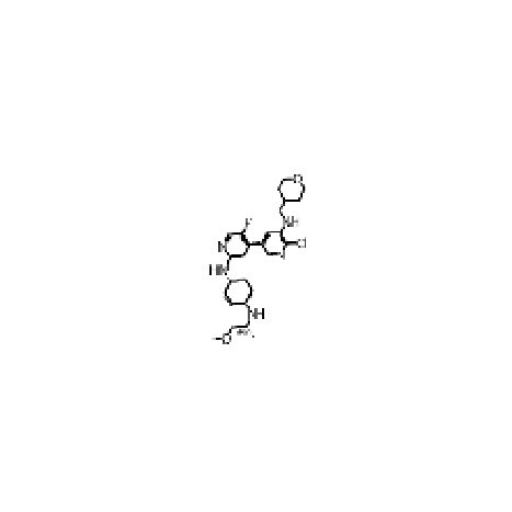 COC[C@@H](C)N[C@H]1CC[C@H](Nc2cc(-c3cnc(Cl)c(NCC4CCOCC4)c3)c(F)cn2)CC1